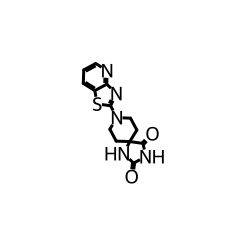 O=C1NC(=O)C2(CCN(c3nc4ncccc4s3)CC2)N1